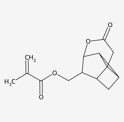 C=C(C)C(=O)OCC1C2OC(=O)CC34C1CC3C24